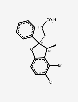 C[C@H]1c2c(ccc(Cl)c2Br)O[C@@]1(CNC(=O)O)c1ccccc1